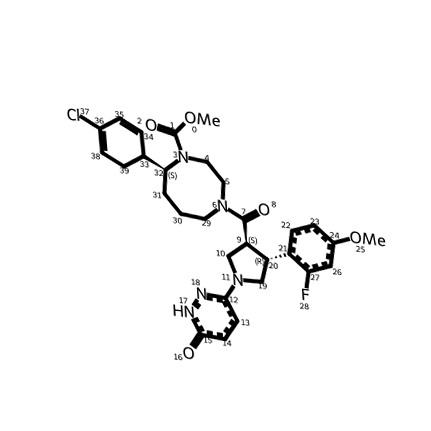 COC(=O)N1CCN(C(=O)[C@@H]2CN(c3ccc(=O)[nH]n3)C[C@H]2c2ccc(OC)cc2F)CCC[C@H]1C1C=CC(Cl)=CC1